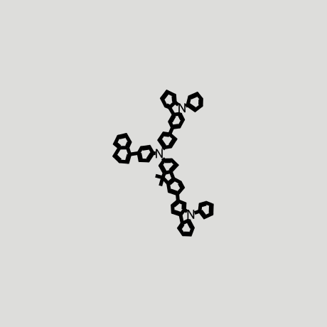 CC1(C)c2cc(-c3ccc4c5ccccc5n(-c5ccccc5)c4c3)ccc2-c2ccc(N(c3ccc(-c4ccc5c(c4)c4ccccc4n5-c4ccccc4)cc3)c3ccc(-c4cccc5ccccc45)cc3)cc21